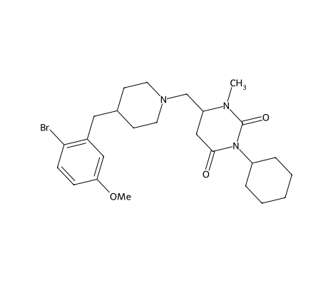 COc1ccc(Br)c(CC2CCN(CC3CC(=O)N(C4CCCCC4)C(=O)N3C)CC2)c1